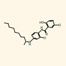 CCCCCCCCC(C)Nc1ccc(NC(=O)c2cc(Cl)ccc2O)c(Cl)c1